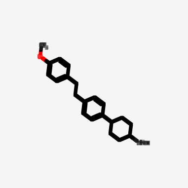 CCCCCCC1CCC(c2ccc(CCc3ccc(OC(F)(F)F)cc3)cc2)CC1